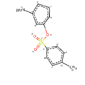 CNc1[c]ccc(OS(=O)(=O)c2ccc(C)cc2)c1